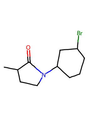 CC1CCN(C2CCCC(Br)C2)C1=O